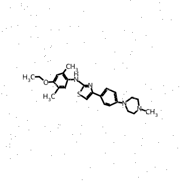 CCOc1cc(C)c(Nc2nc(-c3ccc(N4CCN(C)CC4)cc3)cs2)cc1C